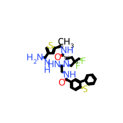 C[C@@H](NC(=O)[C@@H]1C[C@](F)(CF)CN1C(=N)CNC(=O)c1ccc2sc3ccccc3c2c1)c1cc(C(=N)N)cs1